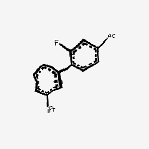 CC(=O)c1ccc(-c2cccc(C(C)C)c2)c(F)c1